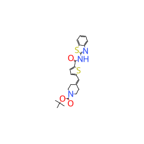 CC(C)(C)OC(=O)N1CCC(=Cc2ccc(C(=O)Nc3nc4ccccc4s3)s2)CC1